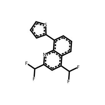 FC(F)c1cc(C(F)F)c2cccc(-c3cccs3)c2n1